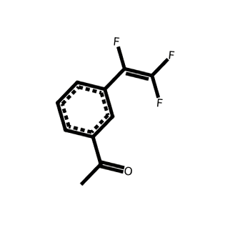 CC(=O)c1cccc(C(F)=C(F)F)c1